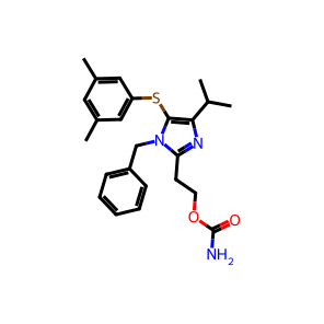 Cc1cc(C)cc(Sc2c(C(C)C)nc(CCOC(N)=O)n2Cc2ccccc2)c1